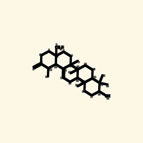 C=C1CCC2(C(=O)O)CCC3(C)C(=CCC4C5(C)CCC(O)C(C)(C)C5CCC43C)C2C1C